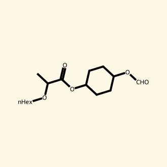 CCCCCCOC(C)C(=O)OC1CCC(OC=O)CC1